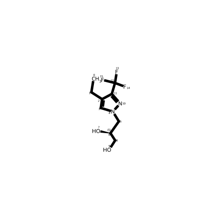 CCc1cn(C[C@H](O)CO)nc1C(F)(F)F